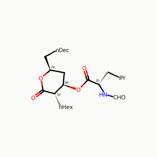 CCCCCCCCCCC[C@H]1C[C@@H](OC(=O)[C@H](CC(C)C)NC=O)[C@H](CCCCCC)C(=O)O1